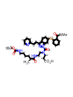 CNC(=O)c1ccccc1Sc1ccc2c(/C=C/c3ccccn3)nn(C(=O)N(CCNC(=O)[C@@H](C)CCCCNC(=O)OC(C)(C)C)CCC(=O)O)c2c1